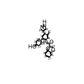 O=C(Nc1cc(F)c(-c2cn[nH]c2)cc1N1CCC(O)CC1)C1COc2ccccc2O1